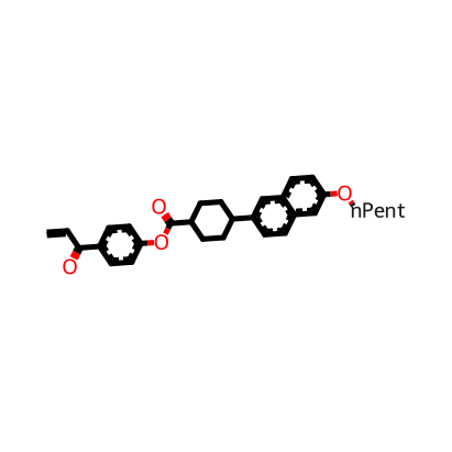 C=CC(=O)c1ccc(OC(=O)C2CCC(c3ccc4cc(OCCCCC)ccc4c3)CC2)cc1